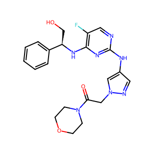 O=C(Cn1cc(Nc2ncc(F)c(N[C@H](CO)c3ccccc3)n2)cn1)N1CCOCC1